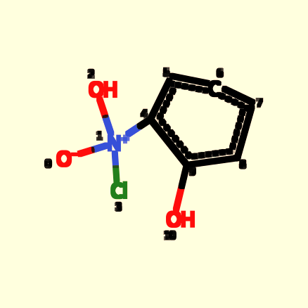 [O-][N+](O)(Cl)c1ccccc1O